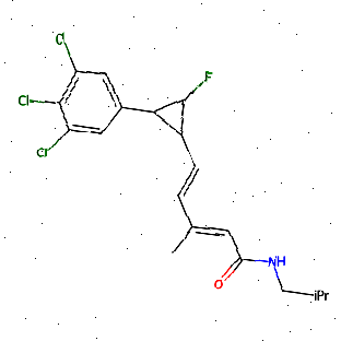 CC(C=CC1C(F)C1c1cc(Cl)c(Cl)c(Cl)c1)=CC(=O)NCC(C)C